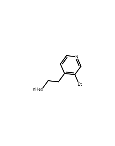 CCCCCCCCc1ccncc1CC